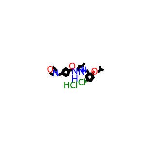 Cc1cc(NC(=O)c2ccc(CN3CCOCC3)cc2)nn1Cc1cc(Cl)ccc1OCC(C)C.Cl